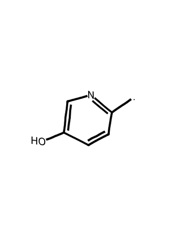 [CH2]c1ccc(O)cn1